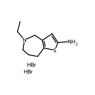 Br.Br.CCN1CCCc2sc(N)cc2C1